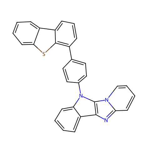 c1ccc2c(c1)sc1c(-c3ccc(-n4c5ccccc5c5nc6ccccn6c54)cc3)cccc12